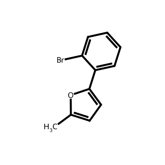 Cc1ccc(-c2ccccc2Br)o1